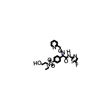 CCN(CCO)S(=O)(=O)c1ccc(/C(=N\OCc2ccccn2)C(=O)Nc2ncc(F)s2)cc1